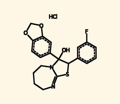 Cl.OC1(c2ccc3c(c2)OCO3)C(c2cccc(F)c2)SC2=NCCCCN21